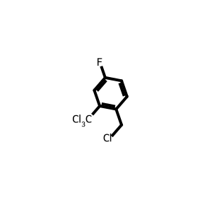 Fc1ccc(CCl)c(C(Cl)(Cl)Cl)c1